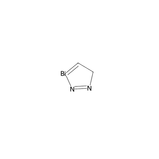 [CH]1=[Bi][N]=NC1